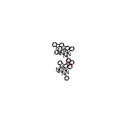 c1ccc(-c2nc(-c3cccc(-c4ccc(-c5nc(-c6ccccc6)nc(-n6ccnc6-n6c7ccccc7c7ccc8c9ccccc9n(-c9ccccc9)c8c76)n5)cc4)c3)nc(-n3ccnc3-n3c4ccccc4c4c5sc6ccccc6c5ccc43)n2)cc1